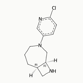 Clc1ccc(N2CCC[C@@H]3CN[C@@H]3C2)cn1